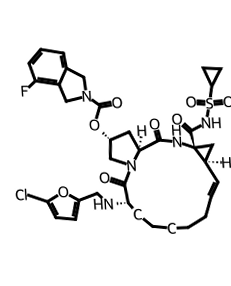 O=C1N[C@]2(C(=O)NS(=O)(=O)C3CC3)C[C@H]2/C=C\CCCCC[C@H](NCc2ccc(Cl)o2)C(=O)N2C[C@H](OC(=O)N3Cc4cccc(F)c4C3)C[C@@H]12